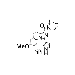 COc1cc2c(cc1CC(C)C)-n1c(-c3cc[nH]c3)nc(C(=O)N3CCOCC3(C)C)c1CC2